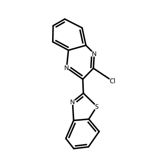 Clc1nc2ccccc2nc1-c1nc2ccccc2s1